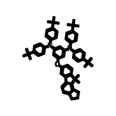 CC(C)(C)c1ccc(N(c2ccc(C(C)(C)C)cc2)c2cc(Oc3ccc4c(c3)-c3ccc5c(c3C4(C)C)CCC5)cc(N(c3ccc(C(C)(C)C)cc3)c3ccc(C(C)(C)C)cc3)c2)cc1